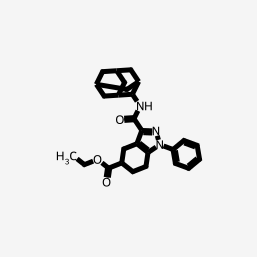 CCOC(=O)C1CCc2c(c(C(=O)NC3C4CC5CC(C4)CC3C5)nn2-c2ccccc2)C1